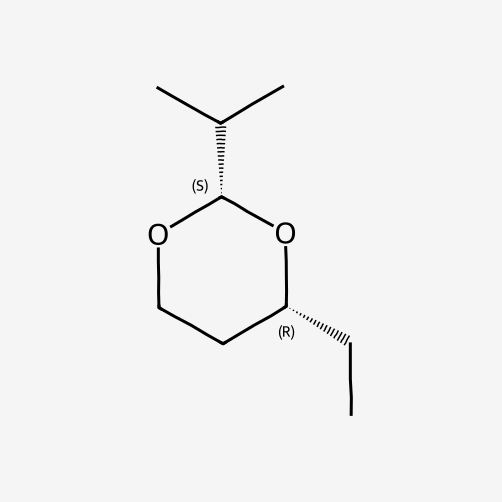 CC[C@@H]1CCO[C@H](C(C)C)O1